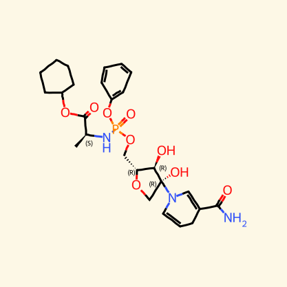 C[C@H](NP(=O)(OC[C@H]1OC[C@](O)(N2C=CCC(C(N)=O)=C2)[C@@H]1O)Oc1ccccc1)C(=O)OC1CCCCC1